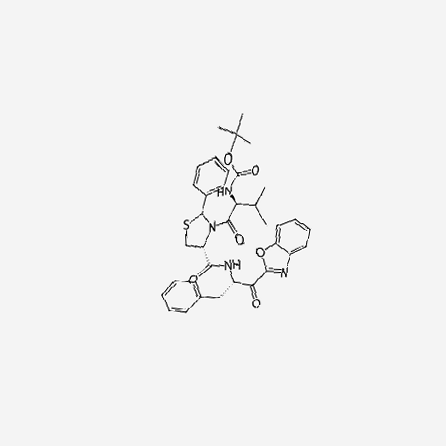 CC(C)[C@H](NC(=O)OC(C)(C)C)C(=O)N1C(c2ccccc2)SC[C@H]1C(=O)N[C@@H](Cc1ccccc1)C(=O)c1nc2ccccc2o1